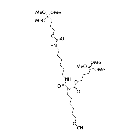 CO[Si](CCCOC(=O)NCCCCCCNC(=O)N(CCCCCCOC#N)C(=O)OCCC[Si](OC)(OC)OC)(OC)OC